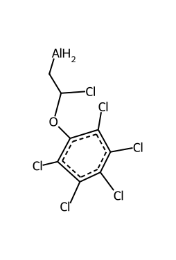 [AlH2][CH2]C(Cl)Oc1c(Cl)c(Cl)c(Cl)c(Cl)c1Cl